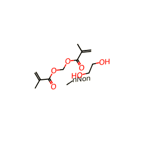 C=C(C)C(=O)OCOC(=O)C(=C)C.CCCCCCCCCC.OCCO